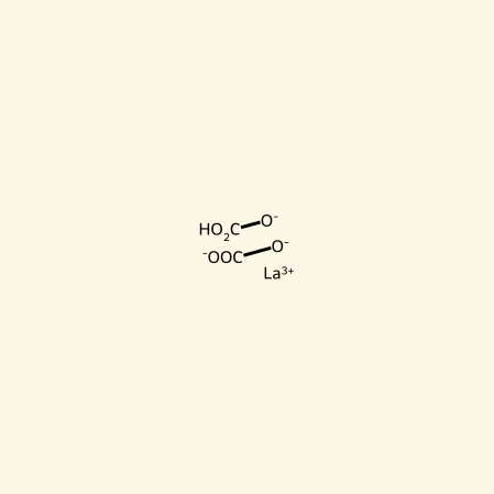 O=C([O-])O.O=C([O-])[O-].[La+3]